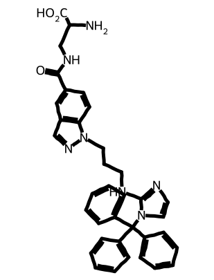 NC(CNC(=O)c1ccc2c(cnn2CCCNc2nccn2C(c2ccccc2)(c2ccccc2)c2ccccc2)c1)C(=O)O